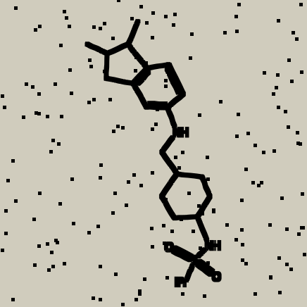 CC1Cc2cc(NCC3CCC(NS(=O)(=O)C(C)C)CC3)ccc2C1C